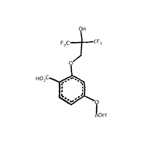 CCCCCCCCOc1ccc(C(=O)O)c(OCC(O)(C(F)(F)F)C(F)(F)F)c1